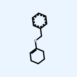 C1=C(OCc2ccccc2)CCCC1